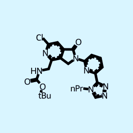 CCCn1cnnc1-c1cccc(N2Cc3c(cc(Cl)nc3CNC(=O)OC(C)(C)C)C2=O)n1